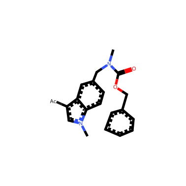 CC(=O)c1cn(C)c2ccc(CN(C)C(=O)OCc3ccccc3)cc12